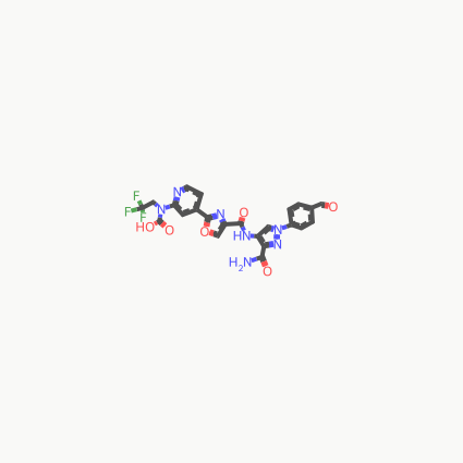 NC(=O)c1nn(-c2ccc(C=O)cc2)cc1NC(=O)c1coc(-c2ccnc(N(CC(F)(F)F)C(=O)O)c2)n1